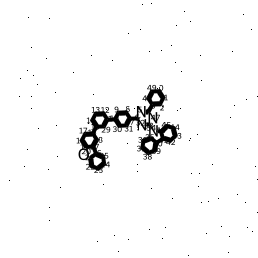 c1ccc(-c2nc(-c3ccc(-c4cccc(-c5ccc6oc7ccccc7c6c5)c4)cc3)nc(-n3c4ccccc4c4ccccc43)n2)cc1